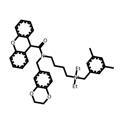 CC[N+](CC)(CCCCN(Cc1ccc2c(c1)OCCO2)C(=O)C1c2ccccc2Oc2ccccc21)Cc1cc(C)cc(C)c1